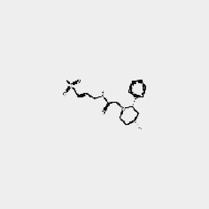 C[C@@H]1CCN(CC(=O)NC/C=C/S(C)(=O)=O)[C@H](c2ccccc2)C1